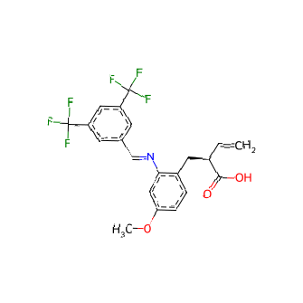 C=C[C@H](Cc1ccc(OC)cc1N=Cc1cc(C(F)(F)F)cc(C(F)(F)F)c1)C(=O)O